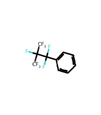 FC(F)(F)C(F)(C(F)(F)F)C(F)(F)c1c[c]ccc1